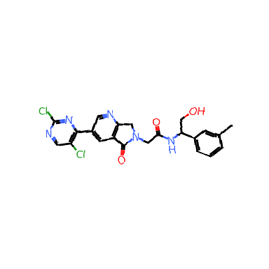 Cc1cccc(C(CO)NC(=O)CN2Cc3ncc(-c4nc(Cl)ncc4Cl)cc3C2=O)c1